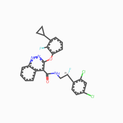 O=C(NC[C@H](F)c1ccc(Cl)cc1Cl)c1c(Oc2cccc(C3CC3)c2F)nnc2ccccc12